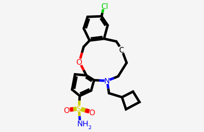 NS(=O)(=O)c1ccc2c(c1)N(CC1CCC1)CCCCc1cc(Cl)ccc1CO2